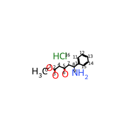 COC(=O)CC(=O)CC(N)c1ccccc1.Cl